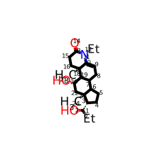 CCC(O)[C@H]1CCC2C3CC=C4N(CC)C(=O)CC[C@]4(C)C3[C@@H](O)C[C@@]21C